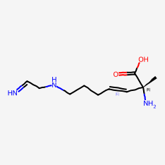 C[C@@](N)(/C=C/CCCNCC=N)C(=O)O